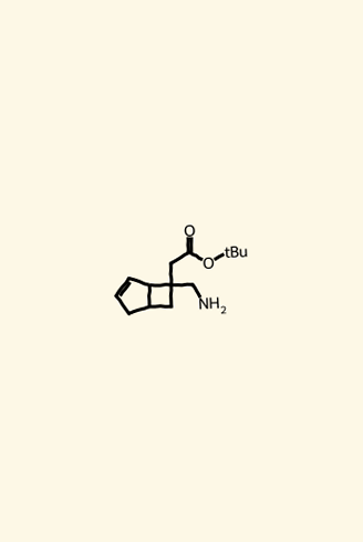 CC(C)(C)OC(=O)CC1(CN)CC2CC=CC21